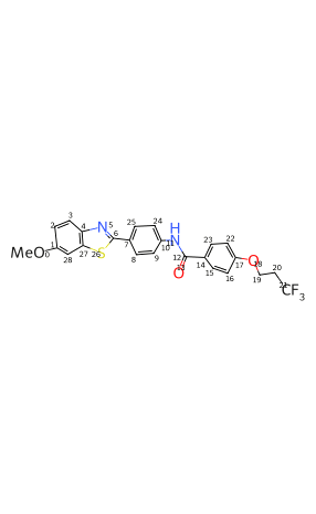 COc1ccc2nc(-c3ccc(NC(=O)c4ccc(OCCC(F)(F)F)cc4)cc3)sc2c1